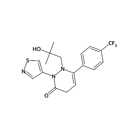 CC(C)(O)CN1C(c2ccc(C(F)(F)F)cc2)=CCC(=O)N1c1cnsc1